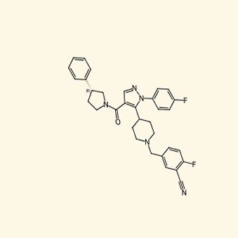 N#Cc1cc(CN2CCC(c3c(C(=O)N4CC[C@H](c5ccccc5)C4)cnn3-c3ccc(F)cc3)CC2)ccc1F